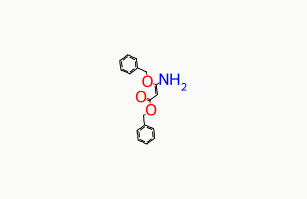 NC(=CC(=O)OCc1ccccc1)OCc1ccccc1